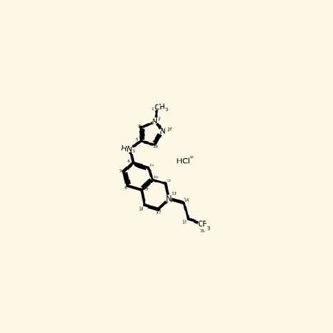 Cl.Cn1cc(Nc2ccc3c(c2)CN(CCC(F)(F)F)CC3)cn1